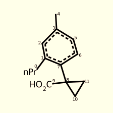 CCCc1cc(C)ccc1C1(C(=O)O)CC1